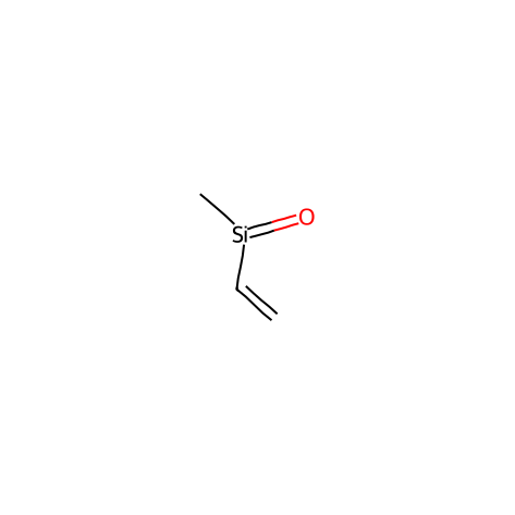 C=C[Si](C)=O